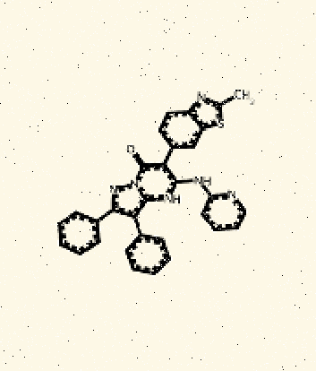 Cc1nc2ccc(-c3c(Nc4ccccn4)[nH]c4c(-c5ccccc5)c(-c5ccccc5)nn4c3=O)cc2s1